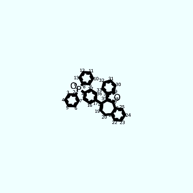 O=P(c1ccccc1)(c1ccccc1)c1ccc(C2=CCc3ccccc3-c3oc4ccccc4c32)cc1